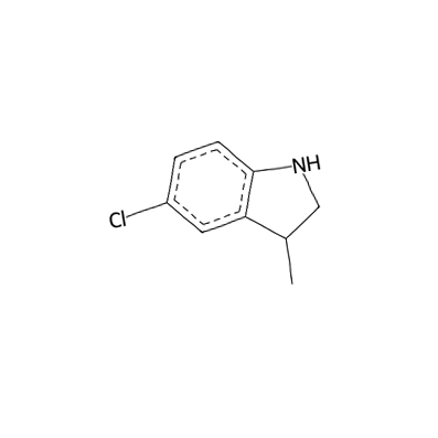 CC1CNc2ccc(Cl)cc21